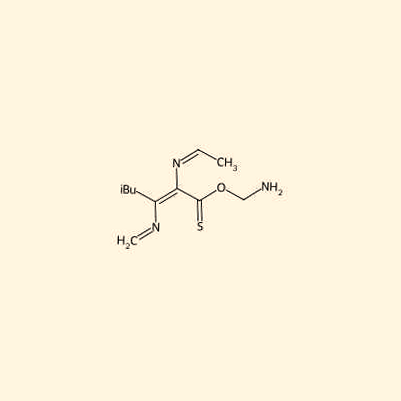 C=N/C(=C(/N=C\C)C(=S)OCN)C(C)CC